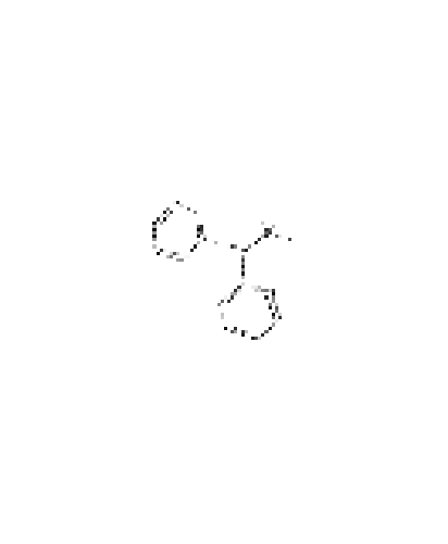 [CH2][SiH2]C(c1ccccc1)c1ccccc1